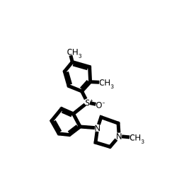 Cc1ccc([S+]([O-])c2ccccc2N2CCN(C)CC2)c(C)c1